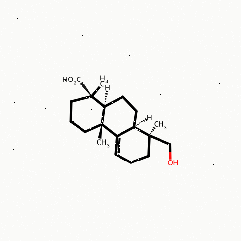 C[C@]1(CO)CCC=C2[C@H]1CC[C@@H]1[C@](C)(C(=O)O)CCC[C@@]21C